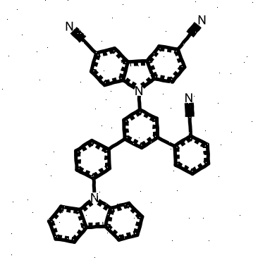 N#Cc1ccc2c(c1)c1cc(C#N)ccc1n2-c1cc(-c2cccc(-n3c4ccccc4c4ccccc43)c2)cc(-c2ccccc2C#N)c1